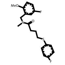 COc1ccc(F)cc1CN(C)C(=O)CCCSc1ccc(F)cc1